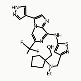 CCN(Cc1cc(Nc2nc(C(C)(F)F)cn3c(-c4cn[nH]c4)cnc23)sn1)C1(CO)CCCC1